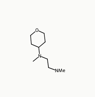 CNCCN(C)C1CCOCC1